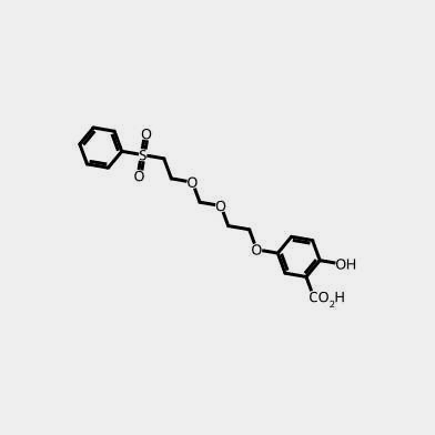 O=C(O)c1cc(OCCOCOCCS(=O)(=O)c2ccccc2)ccc1O